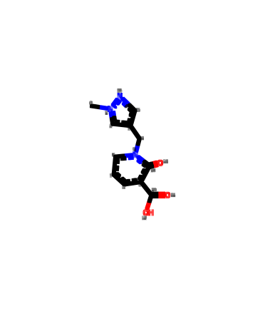 Cn1cc(Cn2cccc(C(=O)O)c2=O)cn1